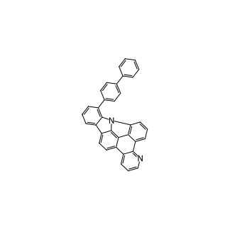 c1ccc(-c2ccc(-c3cccc4c5ccc6c7cccnc7c7cccc8c7c6c5n8c34)cc2)cc1